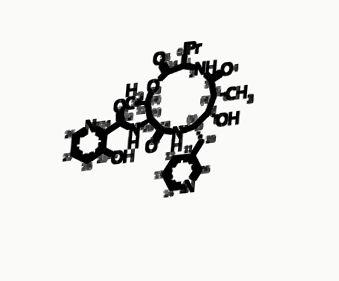 CC(C)C1NC(=O)[C@H](C)[C@H](O)[C@H](Cc2cccnc2)NC(=O)[C@@H](NC(=O)c2ncccc2O)[C@@H](C)OC1=O